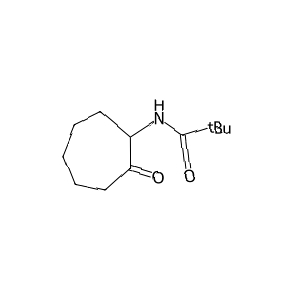 CC(C)(C)C(=O)NC1CCCCCC1=O